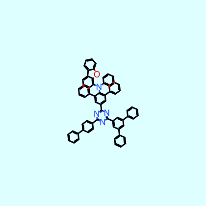 c1ccc(-c2ccc(-c3nc(-c4cc(-c5ccccc5)cc(-c5ccccc5)c4)nc(-c4cc(-c5ccccc5)c(N(c5ccccc5)c5cccc6c5oc5ccccc56)c(-c5ccccc5)c4)n3)cc2)cc1